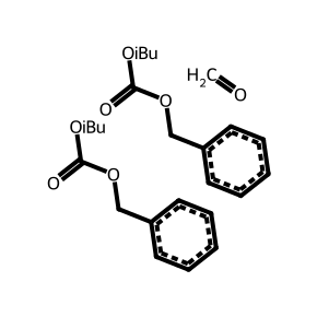 C=O.CC(C)COC(=O)OCc1ccccc1.CC(C)COC(=O)OCc1ccccc1